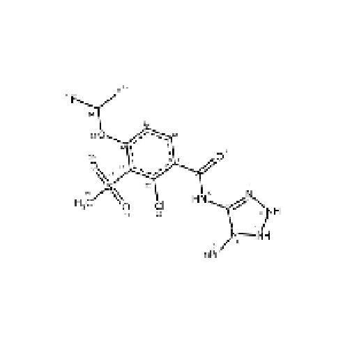 CCCN1NNN=C1NC(=O)c1ccc(OC(F)F)c(S(C)(=O)=O)c1Cl